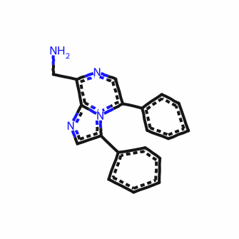 NCc1ncc(-c2ccccc2)n2c(-c3ccccc3)cnc12